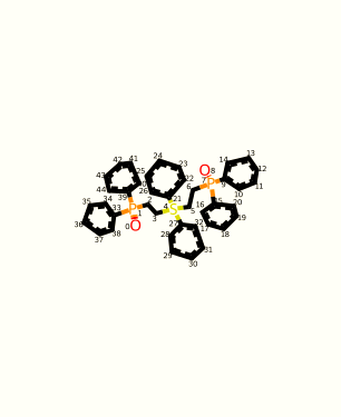 O=P(CCS(CCP(=O)(c1ccccc1)c1ccccc1)(c1ccccc1)c1ccccc1)(c1ccccc1)c1ccccc1